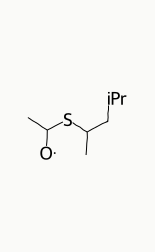 CC(C)CC(C)SC(C)[O]